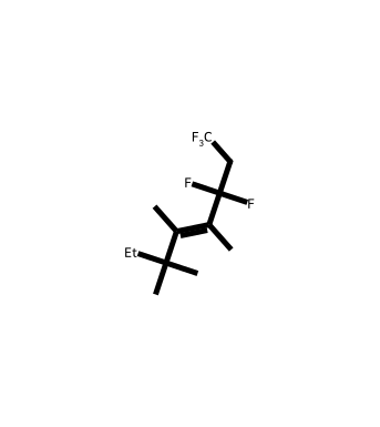 CCC(C)(C)/C(C)=C(\C)C(F)(F)CC(F)(F)F